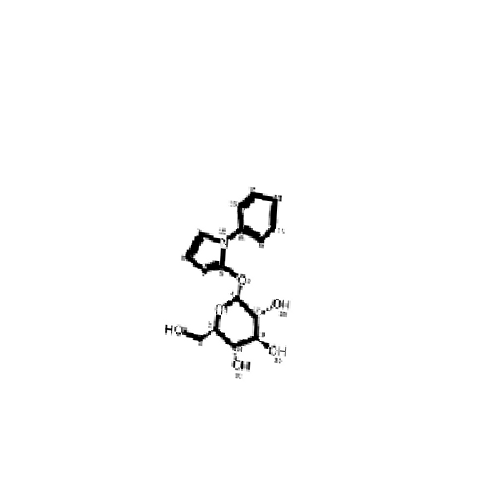 OC[C@H]1O[C@@H](Oc2cccn2-c2ccccc2)[C@H](O)[C@@H](O)[C@@H]1O